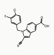 N#Cc1cc2cc(C(=O)O)ccc2n1Cc1ccc(Cl)c(F)c1